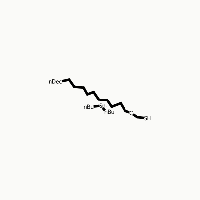 CCCCCCCCCCCCCCCCCCCCCCS.CCC[CH2][Sn][CH2]CCC